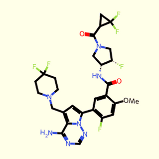 COc1cc(F)c(-c2cc(CN3CCC(F)(F)CC3)c3c(N)ncnn23)cc1C(=O)N[C@@H]1CN(C(=O)C2CC2(F)F)C[C@@H]1F